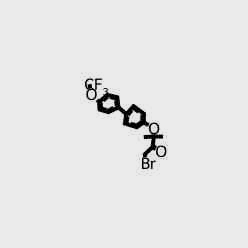 CC(C)(Oc1ccc(-c2ccc(OC(F)(F)F)cc2)cc1)C(=O)CBr